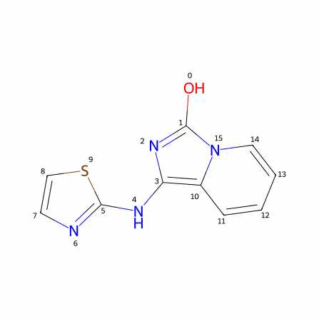 Oc1nc(Nc2nccs2)c2ccccn12